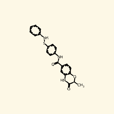 CC1Oc2ccc(C(=O)Nc3ccc(SNc4ccccc4)cc3)cc2NC1=O